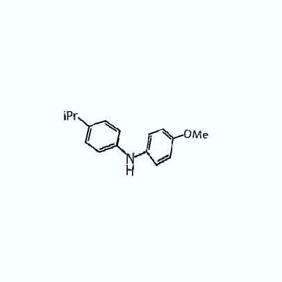 COc1ccc(Nc2ccc(C(C)C)cc2)cc1